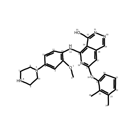 COc1cc(N2CCNCC2)ccc1Nc1nc(Oc2cccc(C)c2C)cc2cnnc(O)c12